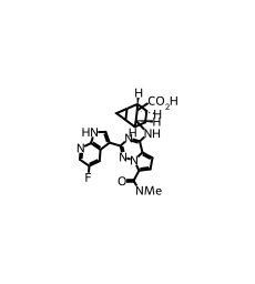 CNC(=O)c1ccc2c(N[C@H]3[C@H](C(=O)O)[C@H]4CC[C@@H]3C3CC34)nc(-c3c[nH]c4ncc(F)cc34)nn12